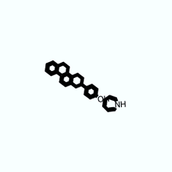 C1=CC=CNC=C1.Oc1ccc(C2CCc3c(ccc4c3CCc3ccccc3-4)C2)cc1